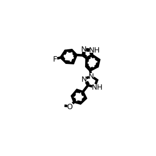 COc1ccc(C2=NN(c3ccc4[nH]nc(-c5ccc(F)cc5)c4c3)CN2)cc1